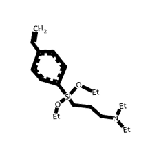 C=Cc1ccc([Si](CCCN(CC)CC)(OCC)OCC)cc1